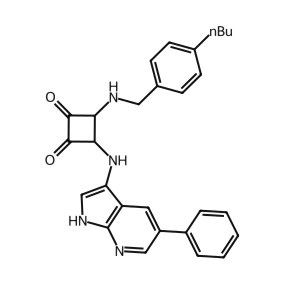 CCCCc1ccc(CNC2C(=O)C(=O)C2Nc2c[nH]c3ncc(-c4ccccc4)cc23)cc1